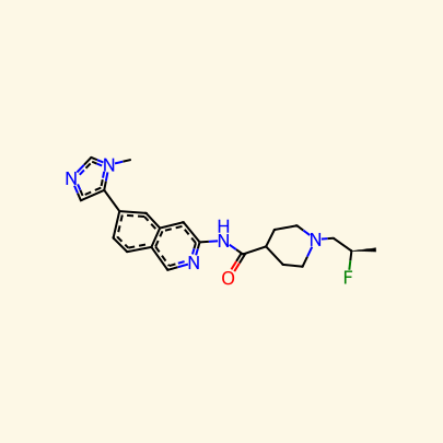 C[C@@H](F)CN1CCC(C(=O)Nc2cc3cc(-c4cncn4C)ccc3cn2)CC1